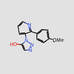 COc1ccc(-c2ncccc2-n2nncc2O)cc1